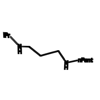 [CH2]CCCCNCCCNC(C)C